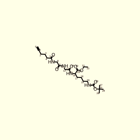 C#CCCCC(=O)NCC(=O)NCC(=O)NC(CCCCNC(=O)OC(C)(C)C)C(=O)OCC